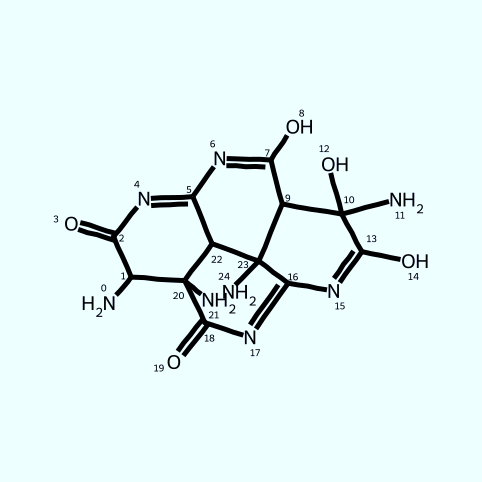 NC1C(=O)N=C2N=C(O)C3C(N)(O)C(O)=NC4=NC(=O)C1(N)C2C43N